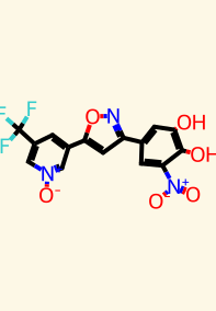 O=[N+]([O-])c1cc(-c2cc(-c3cc(C(F)(F)F)c[n+]([O-])c3)on2)cc(O)c1O